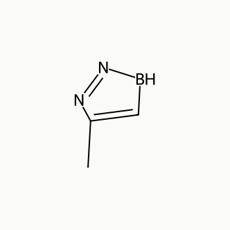 CC1=CBN=N1